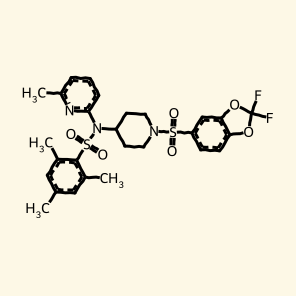 Cc1cc(C)c(S(=O)(=O)N(c2cccc(C)n2)C2CCN(S(=O)(=O)c3ccc4c(c3)OC(F)(F)O4)CC2)c(C)c1